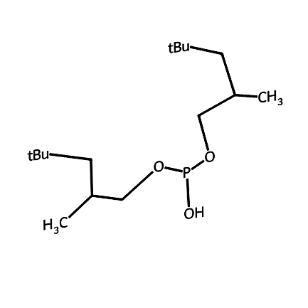 CC(COP(O)OCC(C)CC(C)(C)C)CC(C)(C)C